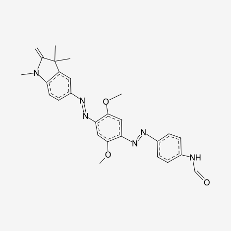 C=C1N(C)c2ccc(N=Nc3cc(OC)c(N=Nc4ccc(NC=O)cc4)cc3OC)cc2C1(C)C